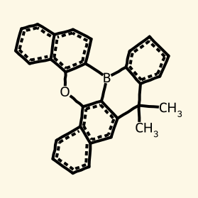 CC1(C)c2ccccc2B2c3ccc4ccccc4c3Oc3c2c1cc1ccccc31